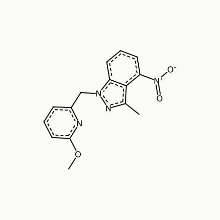 COc1cccc(Cn2nc(C)c3c([N+](=O)[O-])cccc32)n1